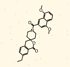 CCc1ccc2c(c1)C(=O)OC1(CCN(C(=O)c3cc(OC)c4cccc(OC)c4c3)CC1)C2